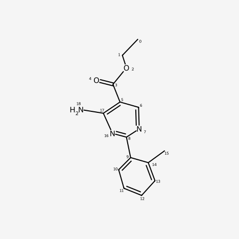 CCOC(=O)c1cnc(-c2ccccc2C)nc1N